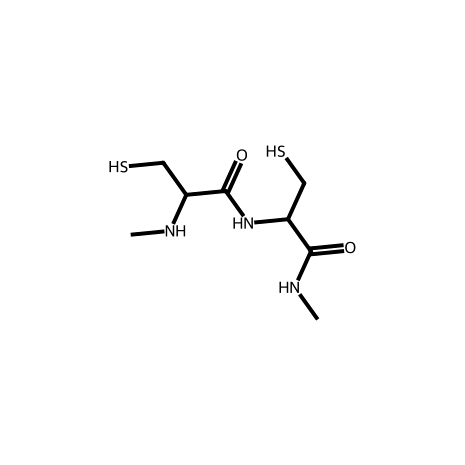 CNC(=O)C(CS)NC(=O)C(CS)NC